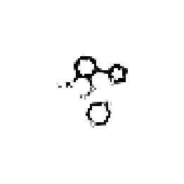 C1COCCN1.CCOc1c(C=O)cccc1-c1cccs1